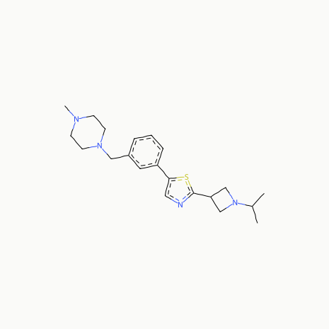 CC(C)N1CC(c2ncc(-c3cccc(CN4CCN(C)CC4)c3)s2)C1